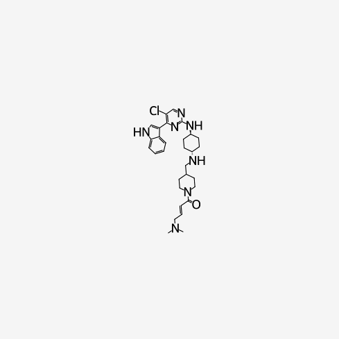 CN(C)C/C=C/C(=O)N1CCC(CN[C@H]2CC[C@H](Nc3ncc(Cl)c(-c4c[nH]c5ccccc45)n3)CC2)CC1